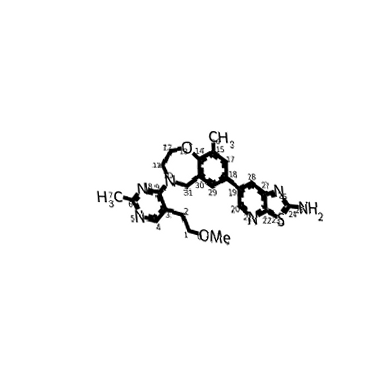 COCCc1cnc(C)nc1N1CCOc2c(C)cc(-c3cnc4sc(N)nc4c3)cc2C1